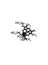 C=C(O)C1=C(C)C2=[N+]3C1=Cc1c(C)c(C(C)=O)c4[n]1[Fe@]31[n]3c(c(C)c(CCC(=O)O)c3=CC3=[N+]1C(=C4)C(C)=C3CCC(=O)O)=C2